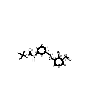 CC(C)(C)OC(=O)Nc1cccc(COc2cccc(C=O)c2Br)c1